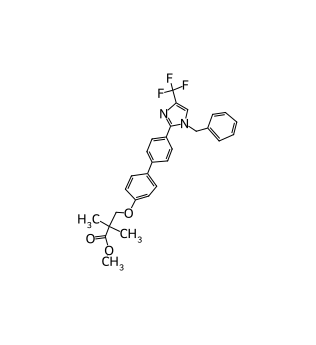 COC(=O)C(C)(C)COc1ccc(-c2ccc(-c3nc(C(F)(F)F)cn3Cc3ccccc3)cc2)cc1